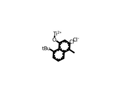 Cc1ccc([O][Ti+2])c2c(C(C)(C)C)cccc12.[Cl-].[Cl-]